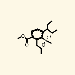 CCCc1c(C(=O)OC)ccc(C(CC)CC)c1S(C)(=O)=O